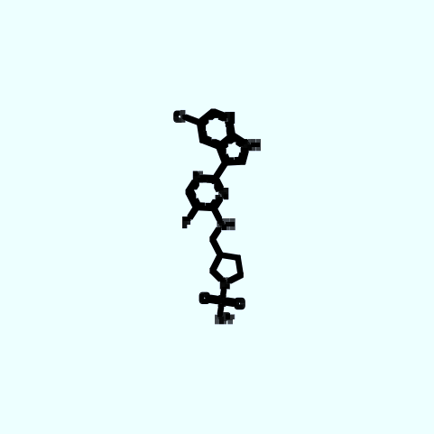 CCCS(=O)(=O)N1CCC(CNc2nc(-c3c[nH]c4ncc(Cl)cc34)ncc2F)C1